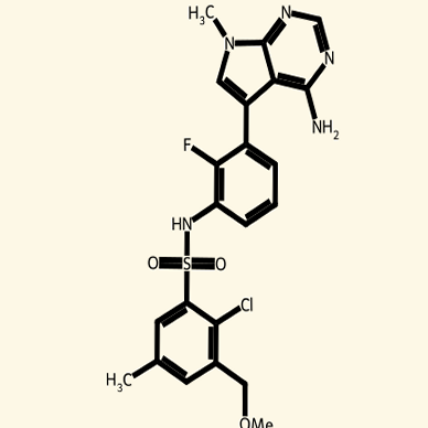 COCc1cc(C)cc(S(=O)(=O)Nc2cccc(-c3cn(C)c4ncnc(N)c34)c2F)c1Cl